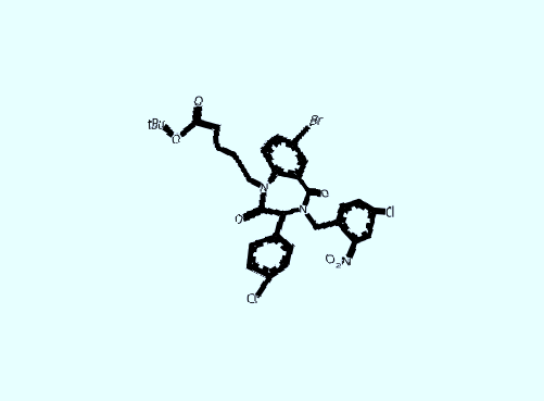 CC(C)(C)OC(=O)CCCCN1C(=O)C(c2ccc(Cl)cc2)N(Cc2ccc(Cl)cc2[N+](=O)[O-])C(=O)c2cc(Br)ccc21